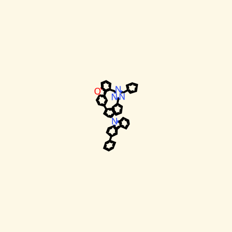 c1ccc(-c2ccc3c(c2)c2ccccc2n3-c2ccc(-c3ccc4oc5cccc(-c6nc(-c7ccccc7)nc(-c7ccccc7)n6)c5c4c3)cc2)cc1